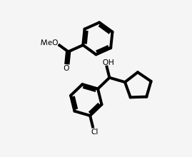 COC(=O)c1ccccc1.OC(c1cccc(Cl)c1)C1CCCC1